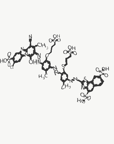 Cc1cc(N=Nc2cc(OCCCS(=O)(=O)O)c(N=Nc3c(C)c(C#N)c4nc5cc(S(=O)(=O)O)c(Cl)cc5n4c3O)cc2C)c(SCCCS(=O)(=O)O)cc1N=Nc1nc2c(S(=O)(=O)O)cc3ccc(S(=O)(=O)O)cc3c2s1